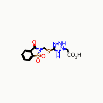 O=C(O)CN1NN=C(SCN2C(=O)c3ccccc3S2(=O)=O)N1